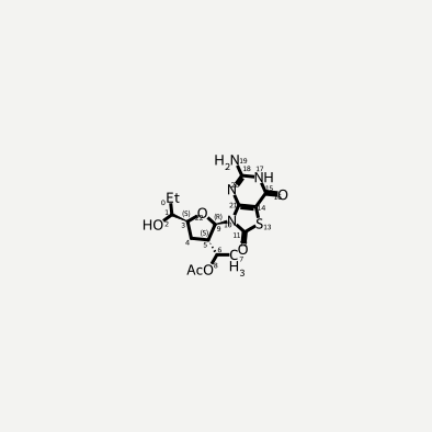 CCC(O)[C@@H]1C[C@@H](C(C)OC(C)=O)[C@H](n2c(=O)sc3c(=O)[nH]c(N)nc32)O1